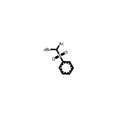 CCCCC(C(C)=O)S(=O)(=O)c1ccccc1